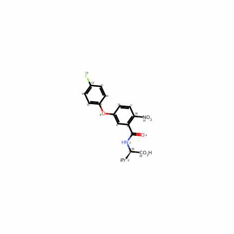 CC(C)[C@@H](NC(=O)c1cc(Oc2ccc(F)cc2)ccc1[N+](=O)[O-])C(=O)O